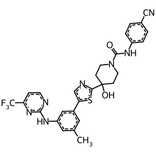 Cc1cc(Nc2nccc(C(F)(F)F)n2)cc(-c2cnc(C3(O)CCN(C(=O)Nc4ccc(C#N)cc4)CC3)s2)c1